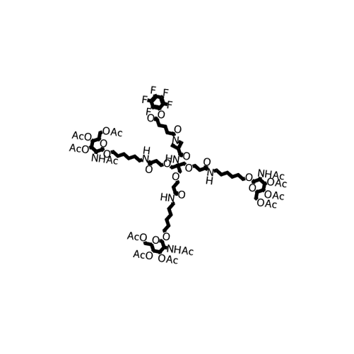 CC(=O)NC1C(OCCCCCCNC(=O)CCOCC(COCCC(=O)NCCCCCCOC2OC(COC(C)=O)C(OC(C)=O)C(OC(C)=O)C2NC(C)=O)(COCCC(=O)NCCCCCCOC2OC(COC(C)=O)C(OC(C)=O)C(OC(C)=O)C2NC(C)=O)NC(=O)C2CN(C(=O)CCCC(=O)Oc3c(F)c(F)c(F)c(F)c3F)C2)OC(COC(C)=O)C(OC(C)=O)C1OC(C)=O